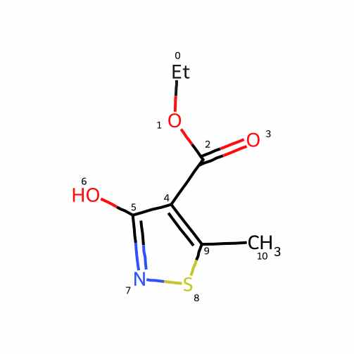 CCOC(=O)c1c(O)nsc1C